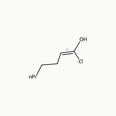 CCCCC/C=C(/O)Cl